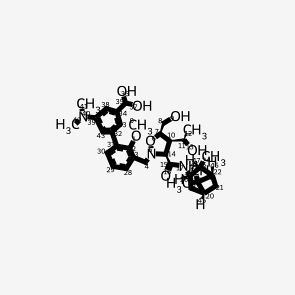 COc1c(CN2O[C@@H](CO)[C@@H]([C@H](C)O)[C@H]2C(=O)N[C@H]2C[C@H]3C[C@@H]([C@@H]2C)C3(C)C)cccc1-c1cc(C(O)O)cc(N(C)C)c1